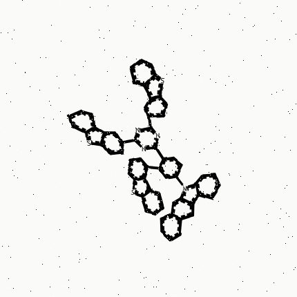 c1ccc2cc3c(cc2c1)c1ccccc1n3-c1ccc(-c2nc(-c3ccc4sc5ccccc5c4c3)nc(-c3ccc4sc5ccccc5c4c3)n2)c(-c2cccc3sc4ccccc4c23)c1